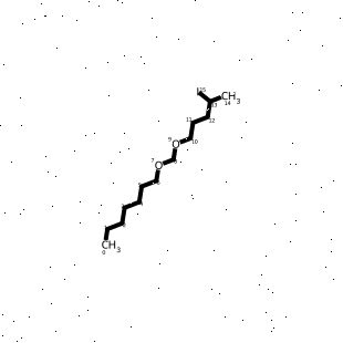 CCCCCCCOCOCCCC(C)I